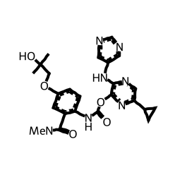 CNC(=O)c1cc(OCC(C)(C)O)ccc1NC(=O)Oc1nc(C2CC2)cnc1Nc1cncnc1